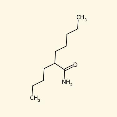 CCCCCC(CCCC)C(N)=O